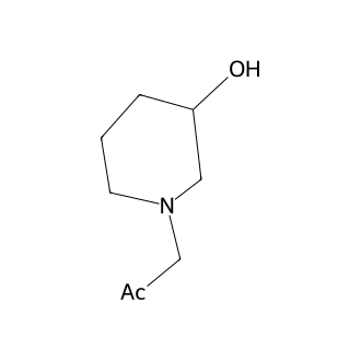 CC(=O)CN1CCCC(O)C1